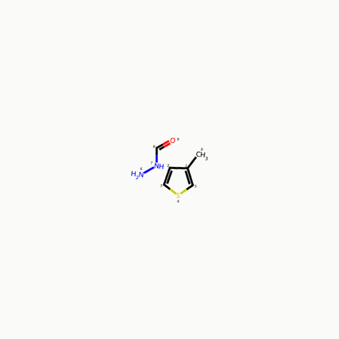 Cc1ccsc1.NNC=O